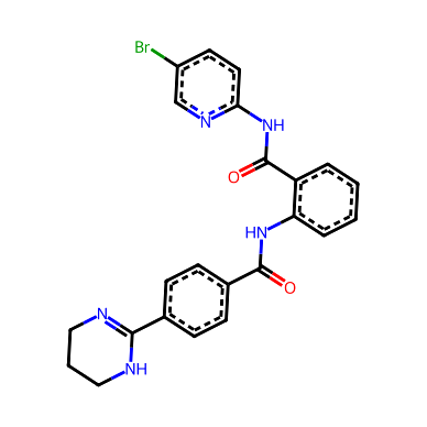 O=C(Nc1ccccc1C(=O)Nc1ccc(Br)cn1)c1ccc(C2=NCCCN2)cc1